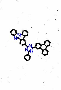 c1ccc(-c2nc(-c3ccc4c5ccccc5c5ccccc5c4c3)nc(-c3ccc4c(c3)c3ccccc3n3c5ccccc5nc43)n2)cc1